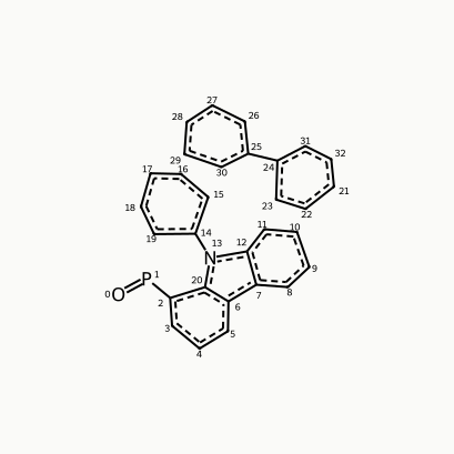 O=Pc1cccc2c3ccccc3n(-c3ccccc3)c12.c1ccc(-c2ccccc2)cc1